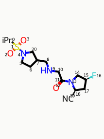 CC(C)S(=O)(=O)N1CCC(CNCC(=O)N2C[C@@H](F)C[C@H]2C#N)C1